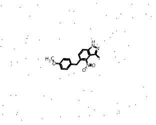 COc1ccc(Cc2ccc3[nH]nc(I)c3c2[N+](=O)[O-])cc1